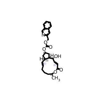 C[C@H]1CCC/C=C/[C@@H]2C[C@H](OC(=O)OCc3cc4ccccc4cn3)C[C@H]2[C@H](O)/C=C/C(=O)O1